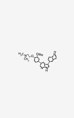 COc1cc(-c2cnc3[nH]cc(-c4ccc5[nH]ccc5c4)c3c2)ccc1OCCN(C)C